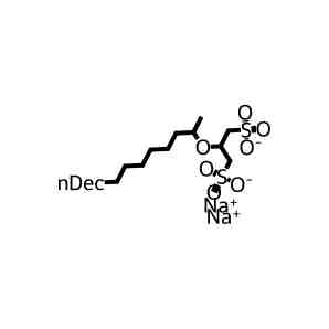 CCCCCCCCCCCCCCCCC(C)OC(CS(=O)(=O)[O-])CS(=O)(=O)[O-].[Na+].[Na+]